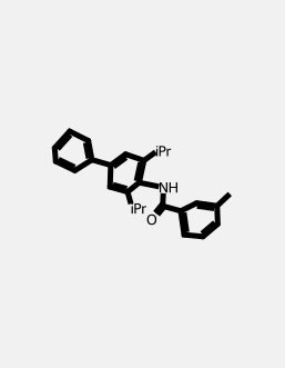 Cc1cccc(C(=O)Nc2c(C(C)C)cc(-c3ccccc3)cc2C(C)C)c1